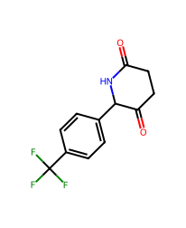 O=C1CCC(=O)C(c2ccc(C(F)(F)F)cc2)N1